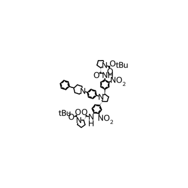 CC(C)(C)OC(=O)N1CCC[C@H]1C(=O)Nc1ccc([C@H]2CC[C@H](c3ccc(NC(=O)[C@@H]4CCCN4C(=O)OC(C)(C)C)c([N+](=O)[O-])c3)N2c2ccc(N3CCC(c4ccccc4)CC3)cc2)cc1[N+](=O)[O-]